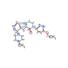 CCOc1ccc(N2CCNC(Cc3cccnc3N3CCN(C)CC3)C2=O)cn1